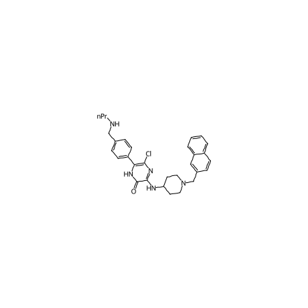 CCCNCc1ccc(-c2[nH]c(=O)c(NC3CCN(Cc4ccc5ccccc5c4)CC3)nc2Cl)cc1